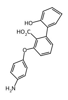 Nc1ccc(Oc2cccc(-c3ccccc3O)c2C(=O)O)cc1